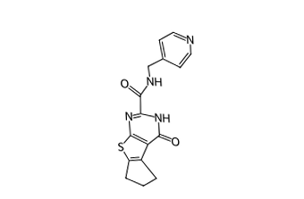 O=C(NCc1ccncc1)c1nc2sc3c(c2c(=O)[nH]1)CCC3